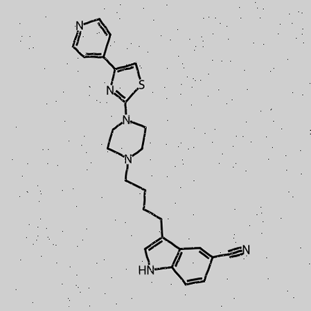 N#Cc1ccc2[nH]cc(CCCCN3CCN(c4nc(-c5ccncc5)cs4)CC3)c2c1